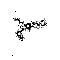 N#CCCCOc1cc2nn(CC(=O)N3CCOCC3)cc2cc1NC(=O)c1cccc(C(F)(F)F)n1